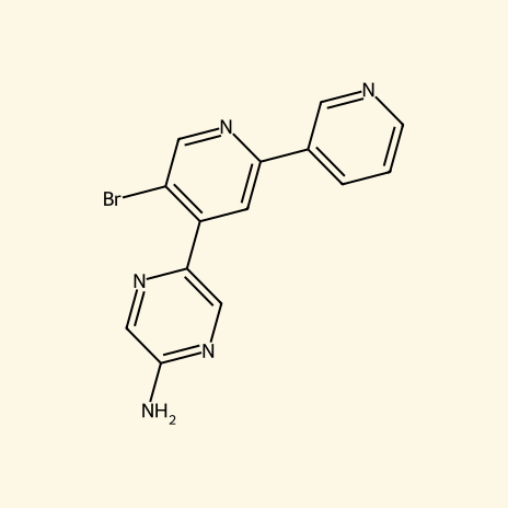 Nc1cnc(-c2cc(-c3cccnc3)ncc2Br)cn1